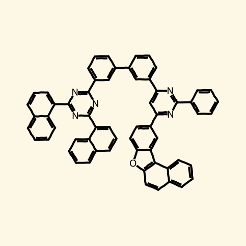 c1ccc(-c2nc(-c3cccc(-c4cccc(-c5nc(-c6cccc7ccccc67)nc(-c6cccc7ccccc67)n5)c4)c3)cc(-c3ccc4oc5ccc6ccccc6c5c4c3)n2)cc1